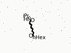 CCCCCCC(=O)CCC=CC=CC(=O)NCC(C)C